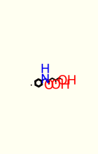 O=C(CC(O)CO)Nc1cc[c]cc1